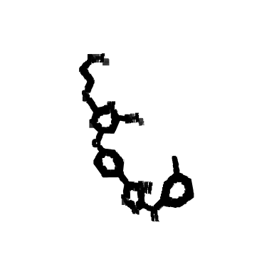 Cc1cccc(Nc2nnc(-c3ccc(Oc4cc(N)nc(SCCN)n4)cc3)[nH]2)c1